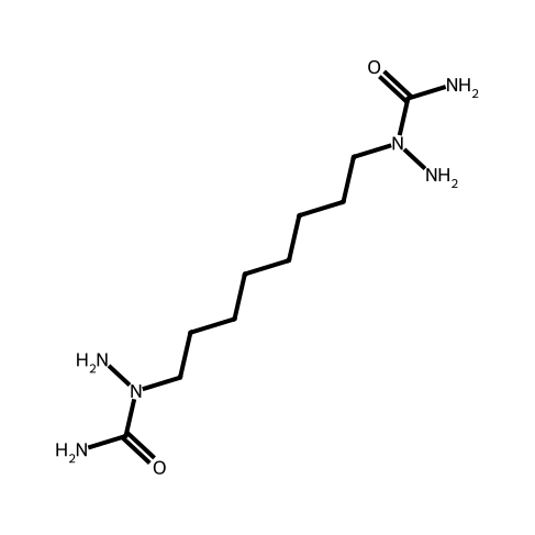 NC(=O)N(N)CCCCCCCCN(N)C(N)=O